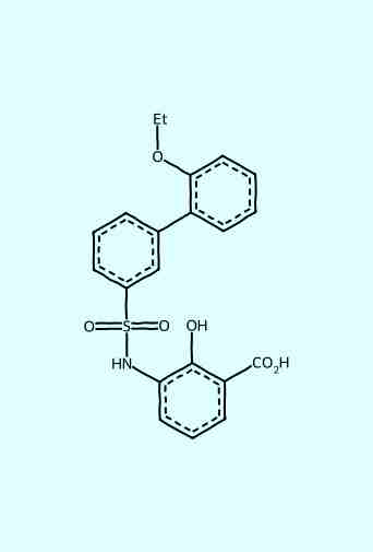 CCOc1ccccc1-c1cccc(S(=O)(=O)Nc2cccc(C(=O)O)c2O)c1